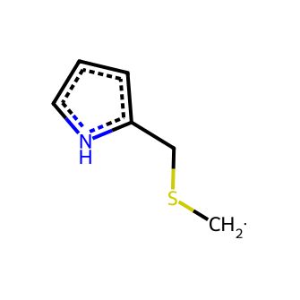 [CH2]SCc1ccc[nH]1